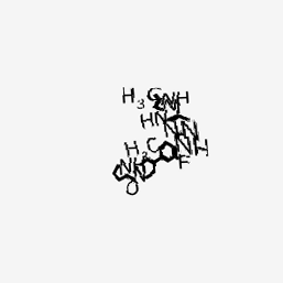 Cc1cc(Nc2nc(Nc3cc(C)c(C4CCN(C(=O)C5CCCN5)CC4)cc3F)ncc2I)n[nH]1